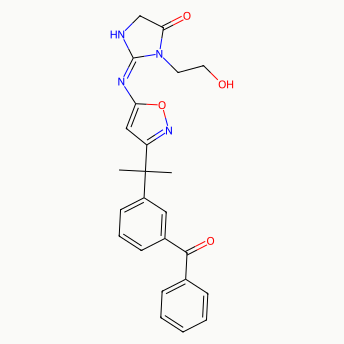 CC(C)(c1cccc(C(=O)c2ccccc2)c1)c1cc(N=C2NCC(=O)N2CCO)on1